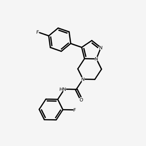 O=C(Nc1ccccc1F)N1CCn2ncc(-c3ccc(F)cc3)c2C1